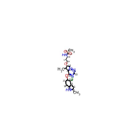 Cc1cc2c(F)c(Oc3ncnn4cc(OCCCNS(C)(=O)=O)c(C)c34)ccc2[nH]1